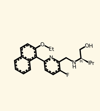 CCOc1ccc2ccccc2c1-c1ccc(F)c(CN[C@@H](CO)C(C)C)n1